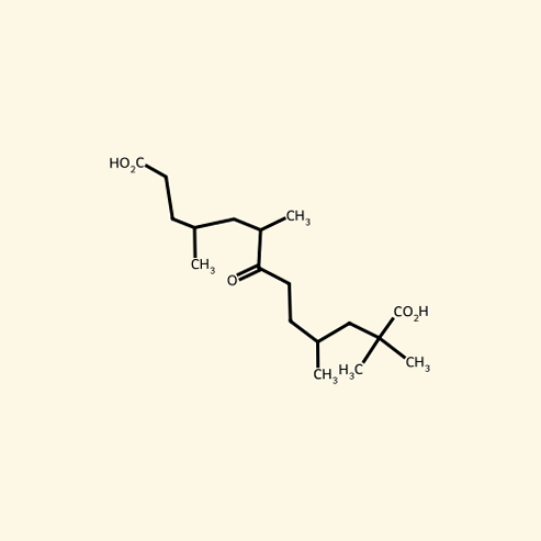 CC(CCC(=O)O)CC(C)C(=O)CCC(C)CC(C)(C)C(=O)O